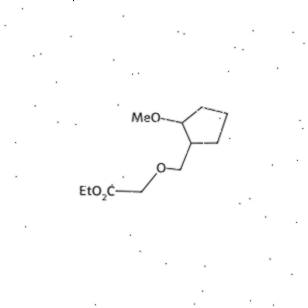 CCOC(=O)COCC1CCCC1OC